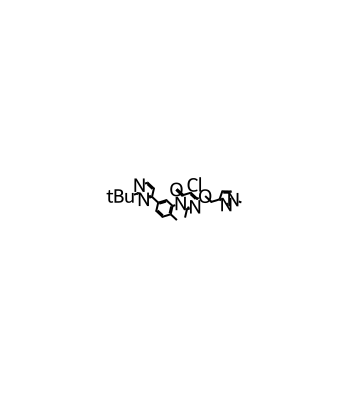 Cc1ccc(-c2ccnc(C(C)(C)C)n2)cc1-n1c(C)nc(OCc2ccn(C)n2)c(Cl)c1=O